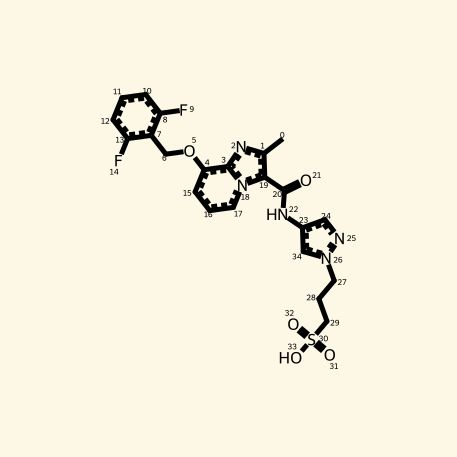 Cc1nc2c(OCc3c(F)cccc3F)cccn2c1C(=O)Nc1cnn(CCCS(=O)(=O)O)c1